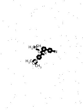 C[C@@H]1CN(c2ccc(-c3cnc4c(-c5ccc(C#N)cc5)cccc4c3OCCN(C)C)cc2)C[C@H](C)O1